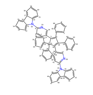 c1ccc(C2=C(c3ccc(-n4c5ccccc5c5ccccc54)nc3)[Si](c3ccccc3)(c3ccccc3)C(c3ccc(-n4c5ccccc5c5ccccc54)nc3)=C2c2ccccc2)cc1